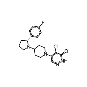 O=c1[nH]ncc(N2CCC(N3CCC[C@@H]3c3ccc(F)cc3)CC2)c1Cl